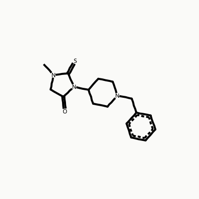 CN1CC(=O)N(C2CCN(Cc3ccccc3)CC2)C1=S